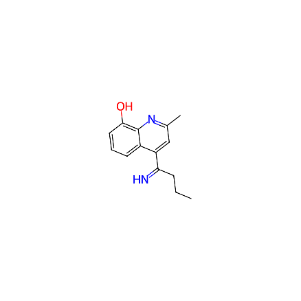 CCCC(=N)c1cc(C)nc2c(O)cccc12